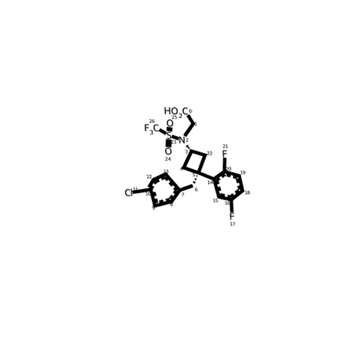 O=C(O)CN([C@H]1C[C@](Cc2ccc(Cl)cc2)(c2cc(F)ccc2F)C1)S(=O)(=O)C(F)(F)F